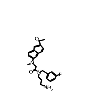 CC(=O)c1ccc2cc(N(C)CC(=O)N(CCCN)Cc3cccc(F)c3)ccc2c1